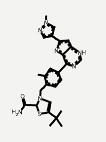 Cc1cc(-c2nc[nH]c3cc(-c4cnn(C)c4)nc2-3)ccc1CN1C=C(C(C)(C)C)SC1C(N)=O